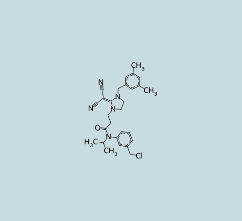 Cc1cc(C)cc(CN2CCN(CCC(=O)N(c3cccc(CCl)c3)C(C)C)C2=C(C#N)C#N)c1